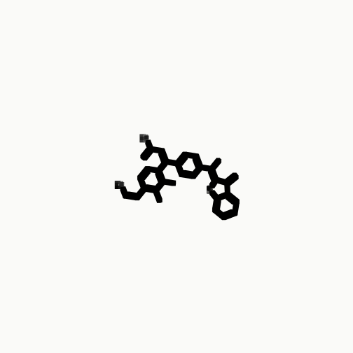 C=C(/C=C(/c1ccc(/C(C)=c2\sc3ccccc3c2=C)cc1)c1ccc(/C=C\CC)c(C)c1C)CC